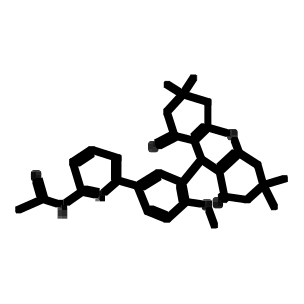 COc1ccc(-c2cccc(NC(C)=O)n2)cc1C1C2=C(CC(C)(C)CC2=O)OC2=C1C(=O)CC(C)(C)C2